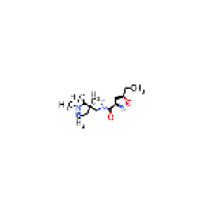 CCc1cc(C(=O)NCC(C)(CC)C(C)NC)no1